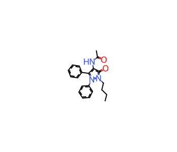 CCCCn1c(=O)c(NC(C)=O)c(-c2ccccc2)n1-c1ccccc1